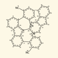 N#Cc1cccc(C#N)c1-c1cccc2c3cccc(-c4c(C#N)cccc4C#N)c3n(-c3ccc4sc5ccccc5c4c3)c12